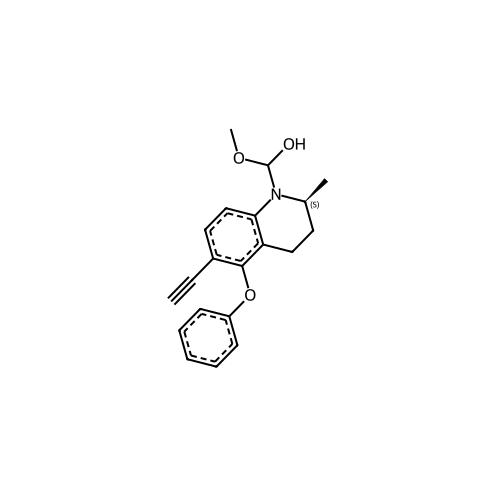 C#Cc1ccc2c(c1Oc1ccccc1)CC[C@H](C)N2C(O)OC